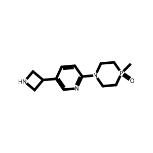 CP1(=O)CCN(c2ccc(C3CNC3)cn2)CC1